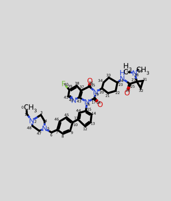 CCN1CCN(Cc2ccc(-c3cccc(-n4c(=O)n(C5CCC(NC(=O)C6(N(C)C)CC6)CC5)c(=O)c5cc(F)cnc54)c3)cc2)CC1